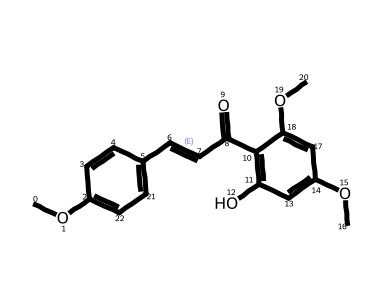 COc1ccc(/C=C/C(=O)c2c(O)cc(OC)cc2OC)cc1